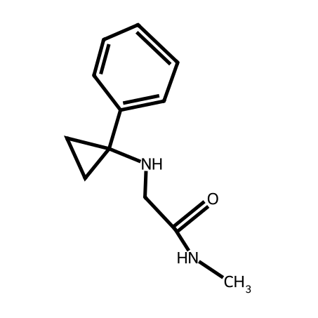 CNC(=O)CNC1(c2ccccc2)CC1